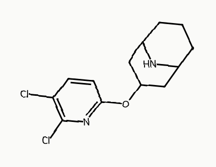 Clc1ccc(OC2CC3CCCC(C2)N3)nc1Cl